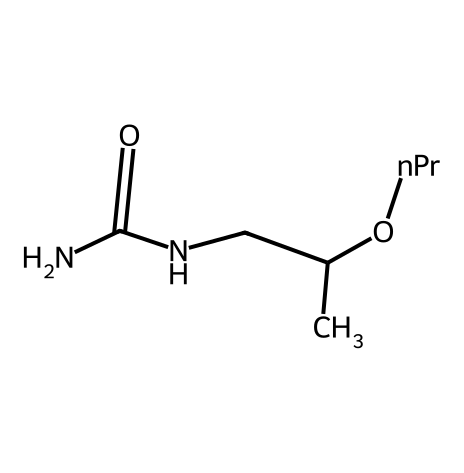 CCCOC(C)CNC(N)=O